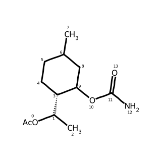 CC(=O)OC(C)[C@@H]1CCC(C)CC1OC(N)=O